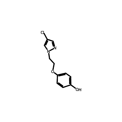 Oc1ccc(OCCn2cc(Cl)cn2)cc1